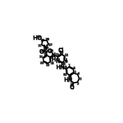 O=C1CCCc2ccc(Nc3ncc(Cl)c(Nc4ccccc4S(=O)(=O)N4CCC(O)C4)n3)cc2N1